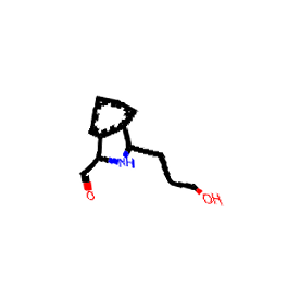 O=CC1NC(CCCO)c2ccccc21